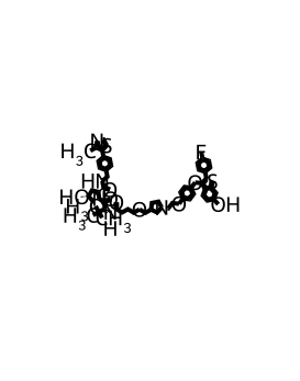 Cc1ncsc1-c1ccc(CNC(=O)[C@@H]2C[C@@H](O)CN2C(=O)[C@@H](NC(=O)CCCOCC2CCN(CCOc3ccc(Oc4c(-c5ccc(F)cc5)sc5cc(O)ccc45)cc3)C2)C(C)(C)C)cc1